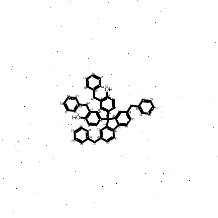 Oc1ccc(C2(c3ccc(O)c(Cc4ccccc4)c3)c3cc(Cc4ccccc4)ccc3-c3ccc(Cc4ccccc4)cc32)cc1Cc1ccccc1